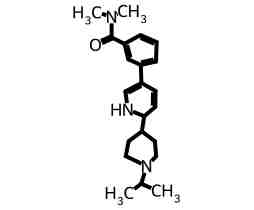 CC(C)N1CCC(C2C=CC(c3cccc(C(=O)N(C)C)c3)=CN2)CC1